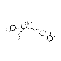 CCCc1nc(C(=O)NCCCN2CCN(c3cccc(C)c3C)CC2)c(C)n1-c1ccc2c(c1)OCO2.Cl.Cl